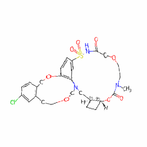 CN1CCOCC(=O)NS(=O)(=O)c2ccc3c(c2)N(COCCc2cc(Cl)ccc2CO3)C[C@@H]2CC[C@H]2OC1=O